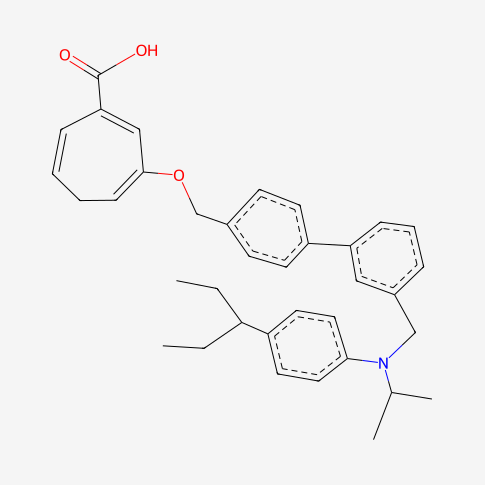 CCC(CC)c1ccc(N(Cc2cccc(-c3ccc(COC4=CCC=CC(C(=O)O)=C4)cc3)c2)C(C)C)cc1